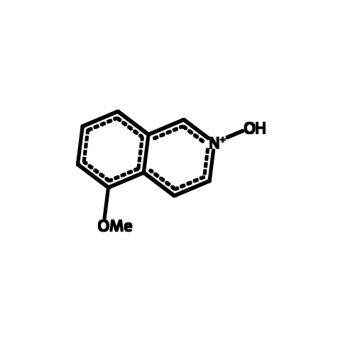 COc1cccc2c[n+](O)ccc12